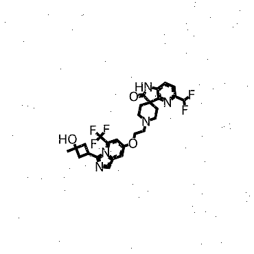 CC1(O)CC(c2ncc3cc(OCCN4CCC5(CC4)C(=O)Nc4ccc(C(F)F)nc45)cc(C(F)(F)F)n23)C1